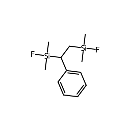 C[Si](C)(F)CC(c1ccccc1)[Si](C)(C)F